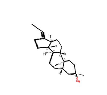 CC=C1CC[C@H]2[C@@H]3CC[C@H]4C[C@](C)(O)CC[C@]4(CC)[C@H]3CC[C@]12C